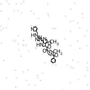 COc1cnc(-n2cnc(NCc3cccnc3)n2)c2c1C(C(=O)C(=O)N1CCN(C(=O)c3ccccc3)C(C)C1)CN2